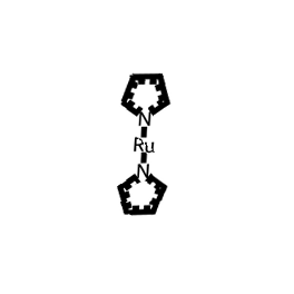 c1cc[n]([Ru][n]2cccc2)c1